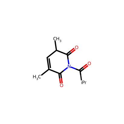 CC1=CC(C)C(=O)N(C(=O)C(C)C)C1=O